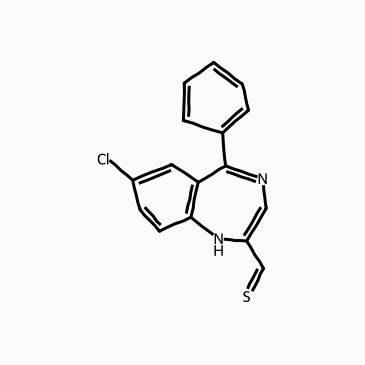 S=CC1=CN=C(c2ccccc2)c2cc(Cl)ccc2N1